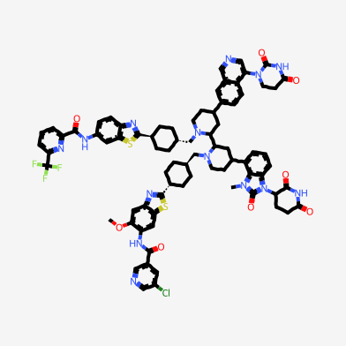 COc1cc2nc([C@H]3CC[C@H](CN4CCC(c5cccc6c5n(C)c(=O)n6C5CCC(=O)NC5=O)CC4C4CC(c5ccc6c(N7CCC(=O)NC7=O)cncc6c5)CCN4C[C@H]4CC[C@H](c5nc6ccc(NC(=O)c7cccc(C(F)(F)F)n7)cc6s5)CC4)CC3)sc2cc1NC(=O)c1cncc(Cl)c1